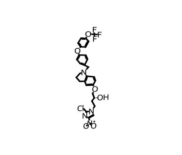 O=[N+]([O-])c1cn(CC[C@@H](O)COc2ccc3c(c2)CCCN3Cc2ccc(Oc3ccc(OC(F)(F)F)cc3)cc2)c(Cl)n1